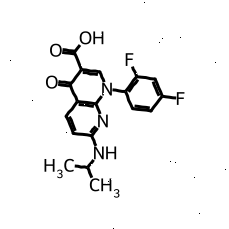 CC(C)Nc1ccc2c(=O)c(C(=O)O)cn(-c3ccc(F)cc3F)c2n1